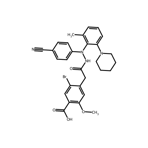 COc1cc(CC(=O)NN(c2ccc(C#N)cc2)c2c(C)cccc2N2CCCCC2)c(Br)cc1C(=O)O